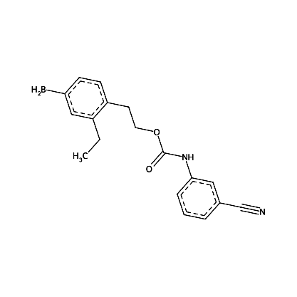 Bc1ccc(CCOC(=O)Nc2cccc(C#N)c2)c(CC)c1